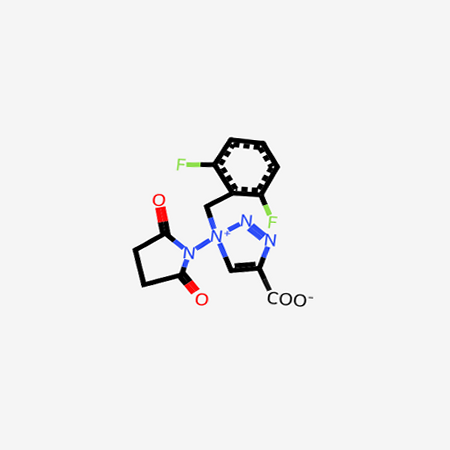 O=C([O-])C1=C[N+](Cc2c(F)cccc2F)(N2C(=O)CCC2=O)N=N1